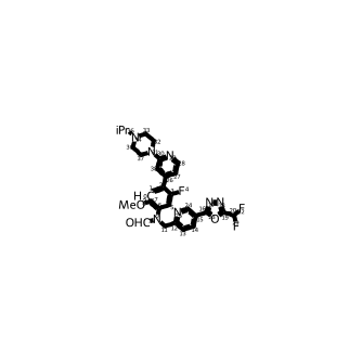 C\C=C(/C(F)=C\C(=C\OC)N(C=O)Cc1ccc(-c2nnc(C(F)F)o2)cn1)c1ccnc(N2CCN(C(C)C)CC2)c1